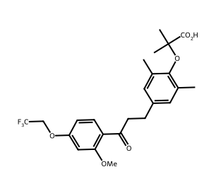 COc1cc(OCC(F)(F)F)ccc1C(=O)CCc1cc(C)c(OC(C)(C)C(=O)O)c(C)c1